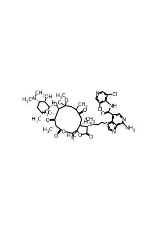 CO[C@]1(C)C[C@@H](C)C(=O)[C@H](C)[C@H]2[C@H](SCCn3cnc4c(N)ncc(C(=O)Nc5c(Cl)cncc5Cl)c43)C(=O)O[C@]2(C)[C@@H](I)OC(=O)[C@H](C)C(=O)[C@H](C)[C@H]1O[C@@H]1O[C@H](C)C[C@H](N(C)C)[C@H]1O